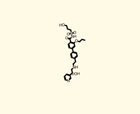 CCCOc1cc(-c2ccc(CCNC[C@H](O)c3cccnc3)cc2)ccc1C(=O)NS(=O)(=O)CCCO